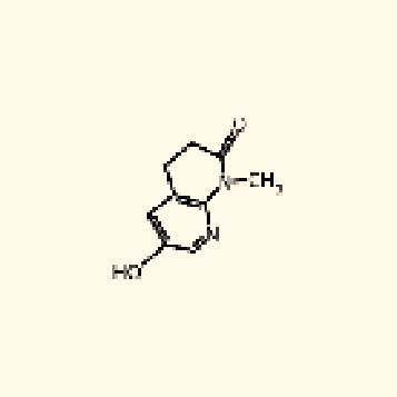 CN1C(=O)CCc2cc(O)cnc21